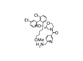 CCc1cccc(-c2c(Cl)cccc2C(O)(CCCCOC)[C@H]2CN(C(=O)c3ccc(CN)nc3)CCO2)c1